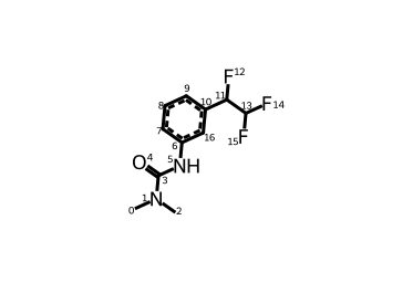 CN(C)C(=O)Nc1cccc(C(F)C(F)F)c1